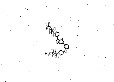 CC(C)(C)OC(=O)N1CCC(Oc2cccc(-c3cnc4c(-c5cccc(NC(=O)NCC(F)(F)F)c5)cnn4c3)c2)CC1